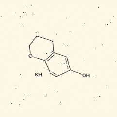 Oc1ccc2c(c1)CCCO2.[KH]